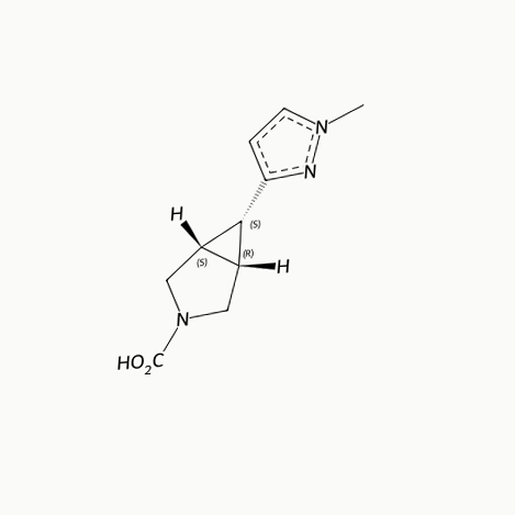 Cn1ccc([C@@H]2[C@@H]3CN(C(=O)O)C[C@@H]32)n1